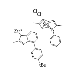 CC1=C2c3cc(C)n(-c4ccccc4)c3C1[Si]2(C)C.CC1=Cc2c(-c3ccc(C(C)(C)C)cc3)cccc2[CH]1[Zr+2].[Cl-].[Cl-]